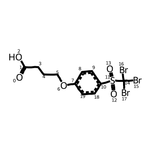 O=C(O)CCCOc1ccc(S(=O)(=O)C(Br)(Br)Br)cc1